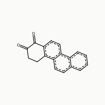 O=C1CCc2c(ccc3c2ccc2ccccc23)C1=O